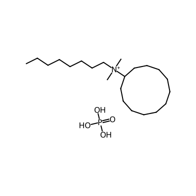 CCCCCCCC[N+](C)(C)C1CCCCCCCCCCC1.O=P(O)(O)O